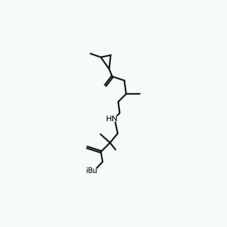 C=C(CC(C)CCNCC(C)(C)C(=C)CC(C)CC)C1CC1C